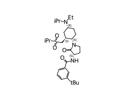 CCN(C(C)C)[C@@H]1CC[C@H](N2CC[C@H](NC(=O)c3cccc(C(C)(C)C)c3)C2=O)[C@@H](CS(=O)(=O)C(C)C)C1